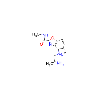 CNC(=O)c1nc2c(ccc3cnn(C[C@H](C)N)c32)o1